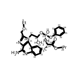 CCOCc1nc2c(N)nc3ccccc3c2n1C[C@@H](C)O[P@](=O)(N[C@@H](C)C(=O)OC(C)C)Oc1ccccc1